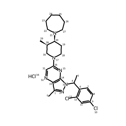 Cc1nn(C(C)c2ccc(Cl)cc2Cl)c2nc(N3CC[C@H](N4CCCCCC4)[C@H](C)C3)cnc12.Cl